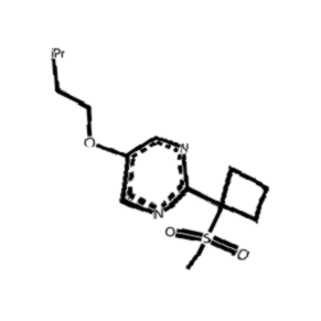 CC(C)CCOc1cnc(C2(S(C)(=O)=O)CCC2)nc1